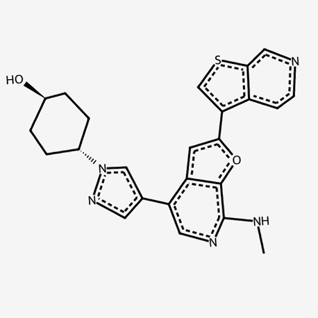 CNc1ncc(-c2cnn([C@H]3CC[C@H](O)CC3)c2)c2cc(-c3csc4cnccc34)oc12